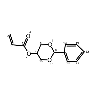 C=CC(=O)OC1COC(c2ccccc2)OC1